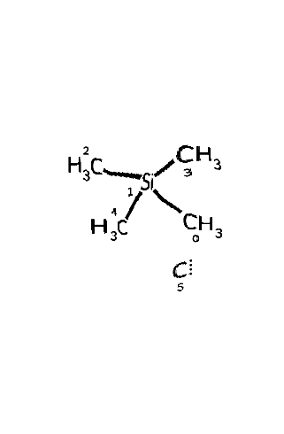 C[Si](C)(C)C.[C]